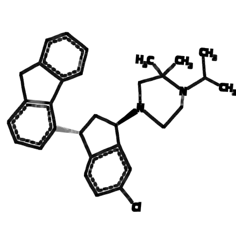 CC(C)N1CCN([C@@H]2C[C@@H](c3cccc4c3-c3ccccc3C4)c3ccc(Cl)cc32)CC1(C)C